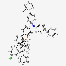 Cc1ccccc1-c1ccc(N(c2ccc(-c3ccccc3)cc2)c2ccc3c(c2)sc2cc(-c4ccc(F)c5c4C4(c6ccccc6-5)C5CC6CC(C5)CC4C6)ccc23)cc1